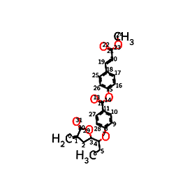 C=C1CC(C(CC)Oc2ccc(C(=O)Oc3ccc(/C=C/C(=O)OC)cc3)cc2)OC1=O